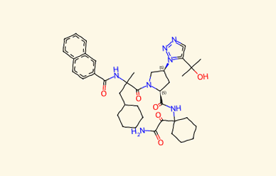 CC(CC1CCCCC1)(NC(=O)c1ccc2ccccc2c1)C(=O)N1C[C@@H](n2nncc2C(C)(C)O)C[C@H]1C(=O)NC1(C(=O)C(N)=O)CCCCC1